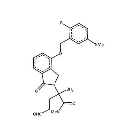 BC(CCC=O)(C(=O)NC)N1Cc2c(OCc3cc(NC)ccc3F)cccc2C1=O